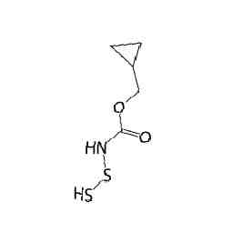 O=C(NSS)OCC1CC1